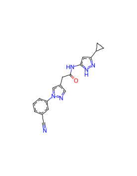 N#Cc1cccc(-n2cc(CC(=O)Nc3cc(C4CC4)n[nH]3)cn2)c1